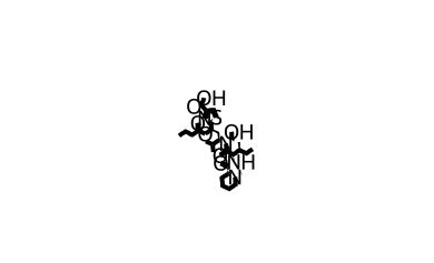 CCCC(=O)O[C@H](C[C@H](C(C)C)N(CO)C(=O)[C@@H](NC(=O)[C@H]1CCCCN1C)[C@@H](C)CC)c1nc(C(=O)O)cs1